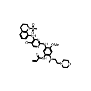 C=CC(=O)Nc1cc(Nc2ncc(Cl)c(Nc3cccc4c3N(S(C)(=O)=O)CCC4)n2)c(OC)cc1N(C)CCN1CCOCC1